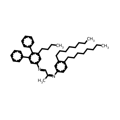 CCCCCCCCc1ccc(N=C(C)C=Nc2cc(CCCC)c(-c3ccccc3)c(-c3ccccc3)c2)cc1CCCCCCCC